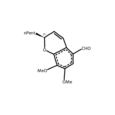 CCCCC[C@H]1C=Cc2c(C=O)cc(OC)c(OC)c2O1